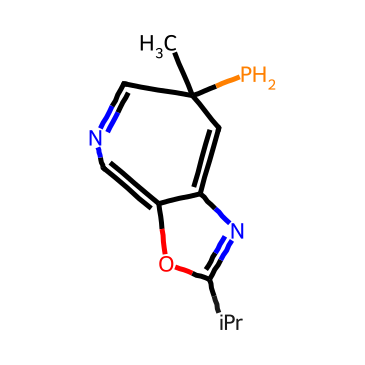 CC(C)c1nc2c(o1)=CN=CC(C)(P)C=2